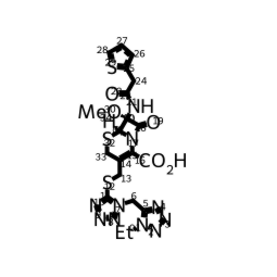 CCn1nnnc1Cn1nnnc1SCC1=C(C(=O)O)N2C(=O)[C@](NC(=O)Cc3cccs3)(OC)[C@H]2SC1